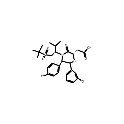 CC(C)[C@H](CS(=O)(=O)C(C)(C)C)N1C(=O)[C@H](CC(=O)O)OC(c2cccc(Cl)c2)[C@H]1c1ccc(Cl)cc1